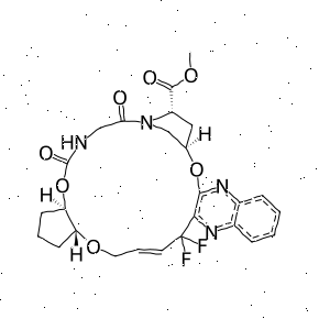 COC(=O)[C@@H]1C[C@@H]2CN1C(=O)CNC(=O)O[C@@H]1CCC[C@H]1OC/C=C/C(F)(F)c1nc3ccccc3nc1O2